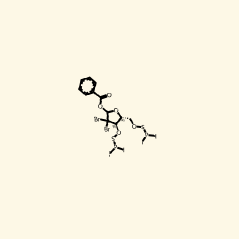 O=C(OC1O[C@H](COSP(I)I)[C@@H](OSP(I)I)C1(Br)Br)c1ccccc1